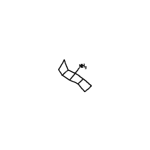 NC12C3CCC3C1C1CCC12